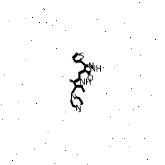 Cc1[nH]c(C=C2C(=O)NN=C2c2cccs2)c(C)c1CN1CCN(C)CC1